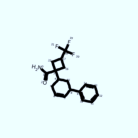 NC(=O)C1(C2CC=CC(c3ccccc3)C2)CC(C(F)(F)F)C1